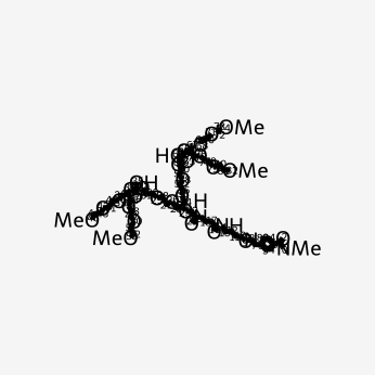 CNC(=O)c1ccc(/C=N/OCCCCNC(=O)CCNC(=O)COC(COCCOCCOP(=O)(O)OC(COCCOCCOC)COCCOCCOC)COCCOCCOP(=O)(O)OC(COCCOCCOC)COCCOCCOC)cc1